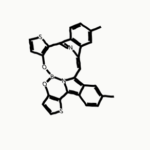 Cc1ccc2c(c1)/C1=C/c3c4cc(C)ccc4c4n3B(Oc3ccsc3C2=N1)Oc1ccsc1-4